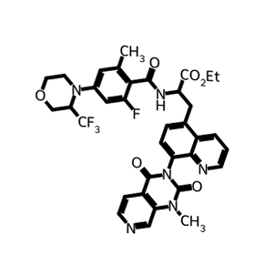 CCOC(=O)C(Cc1ccc(-n2c(=O)c3ccncc3n(C)c2=O)c2ncccc12)NC(=O)c1c(C)cc(N2CCOCC2C(F)(F)F)cc1F